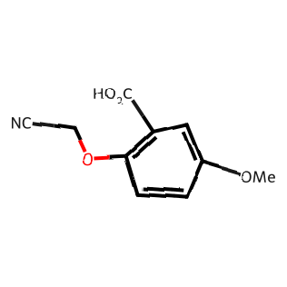 COc1ccc(OCC#N)c(C(=O)O)c1